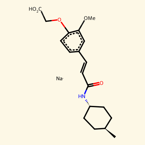 COc1cc(C=CC(=O)N[C@H]2CC[C@H](C)CC2)ccc1OCC(=O)O.[Na]